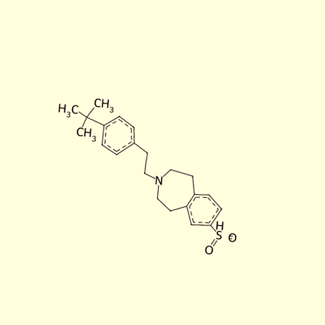 CC(C)(C)c1ccc(CCN2CCc3ccc([SH](=O)=O)cc3CC2)cc1